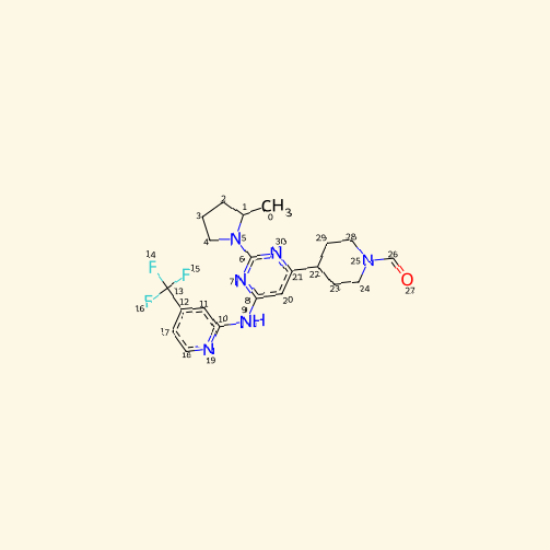 CC1CCCN1c1nc(Nc2cc(C(F)(F)F)ccn2)cc(C2CCN(C=O)CC2)n1